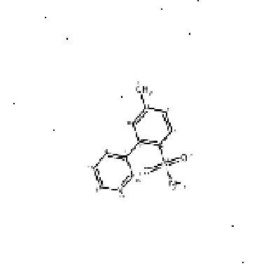 Cc1ccc(S(N)(=O)=O)c(-c2cccnc2)c1